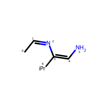 C/C=N\C(=C/N)C(C)C